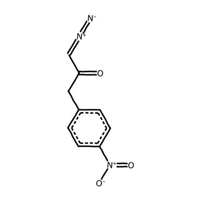 [N-]=[N+]=CC(=O)Cc1ccc([N+](=O)[O-])cc1